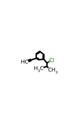 C#Cc1cccc(C(Cl)C(C)C)c1